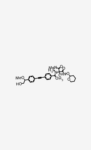 CNC(=O)C(C)(C(=O)NOC1CCCCO1)N(C)C(=O)c1ccc(C#Cc2ccc(C(CO)OC)cc2)cc1